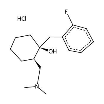 CN(C)C[C@H]1CCCC[C@]1(O)Cc1ccccc1F.Cl